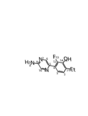 CCc1ccc(-c2cnc(N)cn2)c(F)c1O